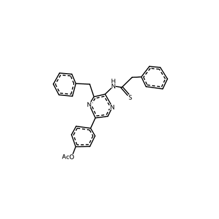 CC(=O)Oc1ccc(-c2cnc(NC(=S)Cc3ccccc3)c(Cc3ccccc3)n2)cc1